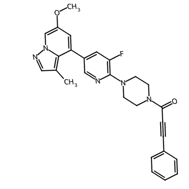 COc1cc(-c2cnc(N3CCN(C(=O)C#Cc4ccccc4)CC3)c(F)c2)c2c(C)cnn2c1